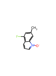 Cc1cc(F)c2ccc[n+]([O-])c2c1